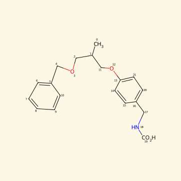 CC(COCc1ccccc1)COc1ccc(CNC(=O)O)cc1